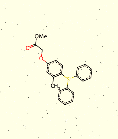 COC(=O)COc1ccc([S+](c2ccccc2)c2ccccc2)c(C)c1